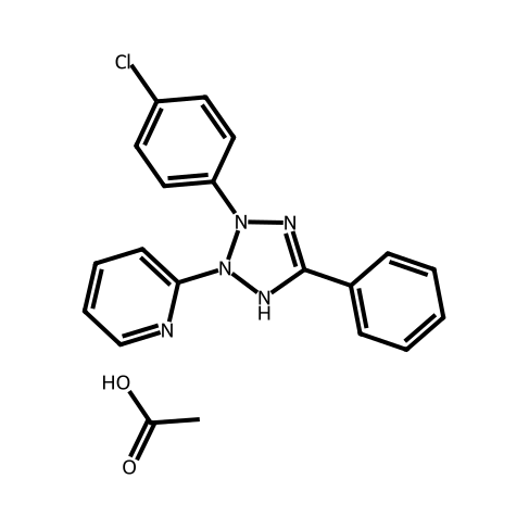 CC(=O)O.Clc1ccc(N2N=C(c3ccccc3)NN2c2ccccn2)cc1